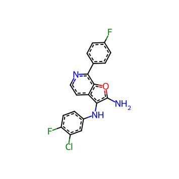 Nc1oc2c(-c3ccc(F)cc3)nccc2c1Nc1ccc(F)c(Cl)c1